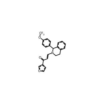 O=C(C=CN1CCc2ccccc2C1c1ccc(OC(F)(F)F)cc1)c1ccoc1